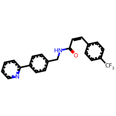 O=C(/C=C\c1ccc(C(F)(F)F)cc1)NCc1ccc(-c2ccccn2)cc1